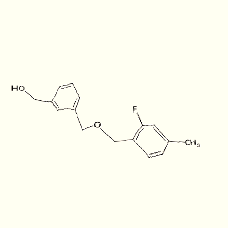 Cc1ccc(COCc2cccc(CO)c2)c(F)c1